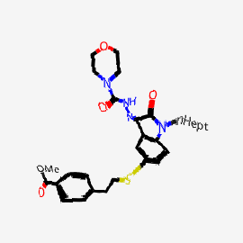 CCCCCCCN1C(=O)C(=NNC(=O)N2CCOCC2)c2cc(SCCc3ccc(C(=O)OC)cc3)ccc21